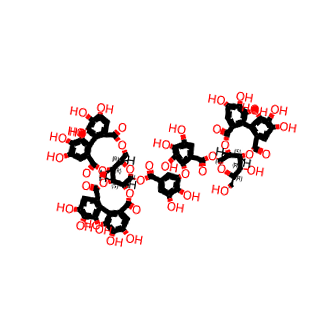 O=C(O[C@H]1O[C@@H]2COC(=O)c3cc(O)c(O)c(O)c3-c3c(cc(O)c(O)c3O)C(=O)O[C@H]2[C@@H]2OC(=O)c3cc(O)c(O)c(O)c3-c3c(cc(O)c(O)c3O)C(=O)O[C@@H]12)c1cc(O)c(O)c(Oc2c(C(=O)O[C@H]3O[C@H](CO)[C@@H](O)[C@@H]4OC(=O)c5cc(O)c(O)c(O)c5-c5c(cc(O)c(O)c5O)C(=O)O[C@@H]34)cc(O)c(O)c2O)c1